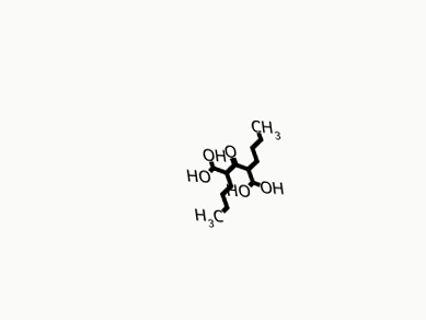 CCCCC(C(=O)C(CCCC)C(O)O)C(O)O